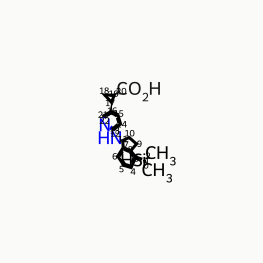 C[SiH](C)c1cccc2c1CC[C@H]2Nc1ccc([C@H]2C[C@@H]2C(=O)O)cn1